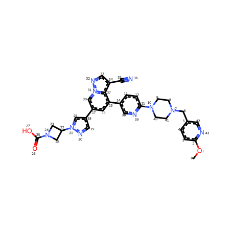 COc1ccc(CN2CCN(c3ccc(-c4cc(-c5cnn(C6CN(C(=O)O)C6)c5)cn5ncc(C#N)c45)cn3)CC2)cn1